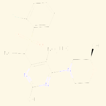 Cc1nc(C(C#N)S(=O)(=O)c2ccccc2F)c([N+](=O)[O-])c(N2CCO[C@H](C)[C@H]2C)n1